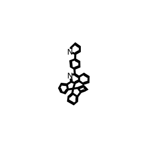 c1ccc(-c2ccc(-c3nc4c(c5ccccc35)C3(c5ccccc5-c5ccccc53)c3ccccc3-4)cc2)nc1